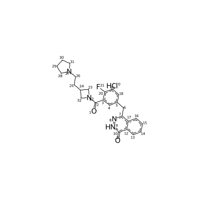 Cl.O=C(c1cc(Cc2n[nH]c(=O)c3ccccc23)ccc1F)N1CC(CCN2CCCC2)C1